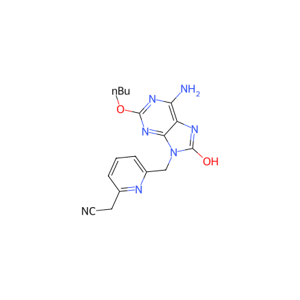 CCCCOc1nc(N)c2nc(O)n(Cc3cccc(CC#N)n3)c2n1